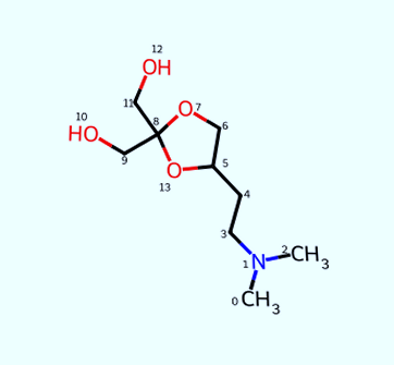 CN(C)CCC1COC(CO)(CO)O1